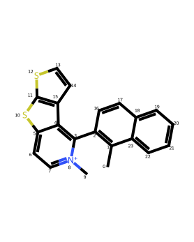 Cc1c(-c2c3c(cc[n+]2C)sc2sccc23)ccc2ccccc12